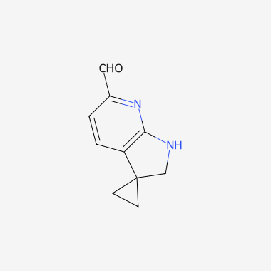 O=Cc1ccc2c(n1)NCC21CC1